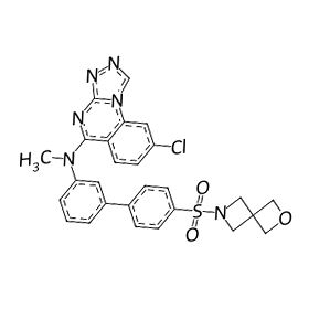 CN(c1cccc(-c2ccc(S(=O)(=O)N3CC4(COC4)C3)cc2)c1)c1nc2nncn2c2cc(Cl)ccc12